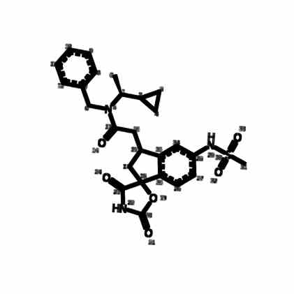 C[C@@H](C1CC1)N(Cc1ccccc1)C(=O)CC1CC2(OC(=O)NC2=O)c2ccc(NS(C)(=O)=O)cc21